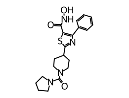 O=C(NO)c1sc(C2CCN(C(=O)N3CCCC3)CC2)nc1-c1ccccc1